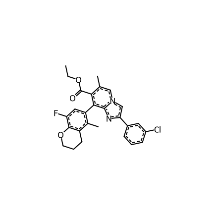 CCOC(=O)c1c(C)cn2cc(-c3cccc(Cl)c3)nc2c1-c1cc(F)c2c(c1C)CCCO2